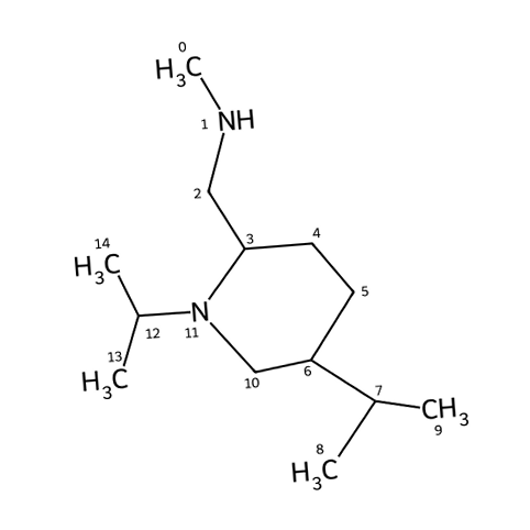 CNCC1CCC(C(C)C)CN1C(C)C